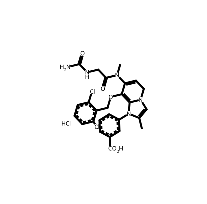 CC1=CN2CC=C(N(C)C(=O)CNC(N)=O)C(OCc3c(Cl)cccc3Cl)=C2N1c1cccc(C(=O)O)c1.Cl